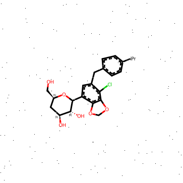 CC(C)c1ccc(Cc2cc(C3O[C@H](CO)C[C@H](O)[C@H]3O)c3c(c2Cl)OCO3)cc1